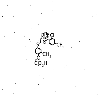 CCCN(CCSc1ccc(OCC(=O)O)c(C)c1)S(=O)(=O)c1ccc(C(F)(F)F)cc1Cl